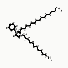 CCCCCCCCCCCCCCCc1n(-c2ccccc2)cc[n+]1CCCCCCCCCCCC